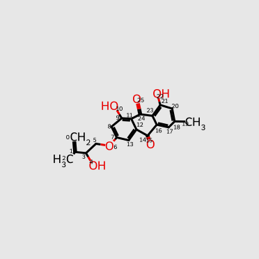 C=C(C)C(O)COc1cc(O)c2c(c1)C(=O)c1cc(C)cc(O)c1C2=O